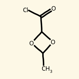 CC1OC(C(=O)Cl)O1